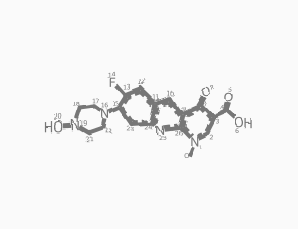 Cn1cc(C(=O)O)c(=O)c2cc3cc(F)c(N4CCN(O)CC4)cc3nc21